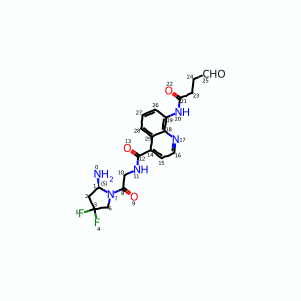 N[C@@H]1CC(F)(F)CN1C(=O)CNC(=O)c1ccnc2c(NC(=O)CCC=O)cccc12